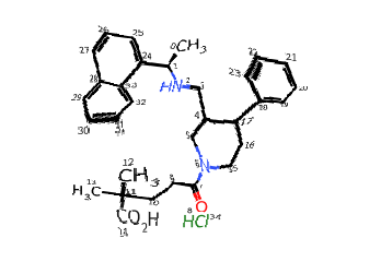 C[C@@H](NCC1CN(C(=O)CCC(C)(C)C(=O)O)CCC1c1ccccc1)c1cccc2ccccc12.Cl